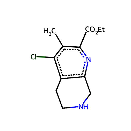 CCOC(=O)c1nc2c(c(Cl)c1C)CCNC2